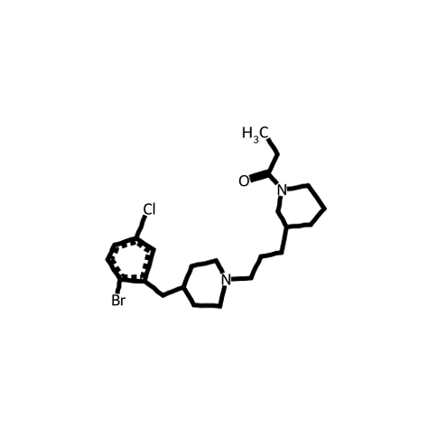 CCC(=O)N1CCCC(CCCN2CCC(Cc3cc(Cl)ccc3Br)CC2)C1